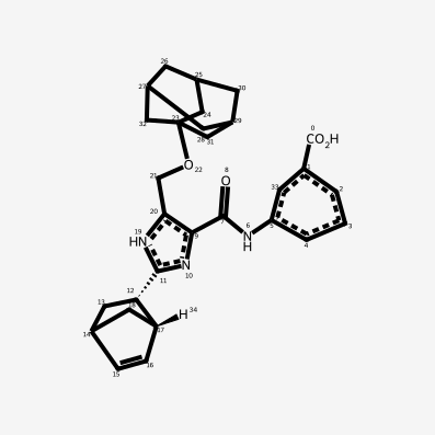 O=C(O)c1cccc(NC(=O)c2nc([C@H]3CC4C=C[C@@H]3C4)[nH]c2COC23CC4CC(CC(C4)C2)C3)c1